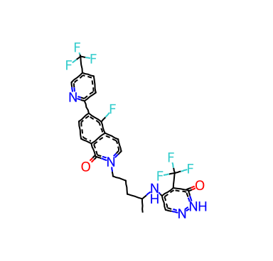 CC(CCCn1ccc2c(F)c(-c3ccc(C(F)(F)F)cn3)ccc2c1=O)Nc1cn[nH]c(=O)c1C(F)(F)F